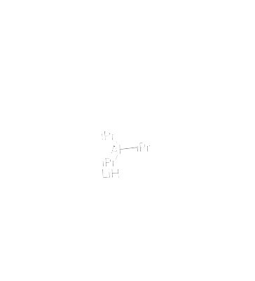 C[CH](C)[Al]([CH](C)C)[CH](C)C.[LiH]